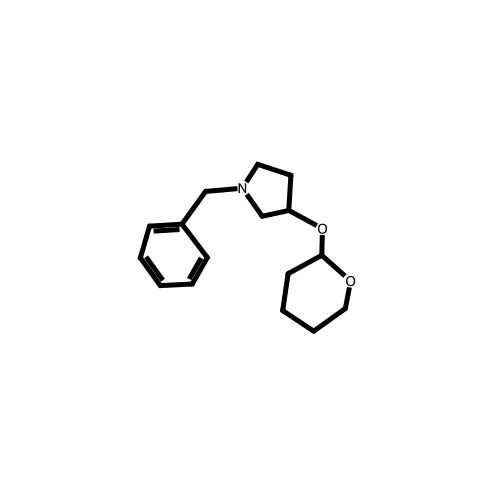 c1ccc(CN2CCC(OC3CCCCO3)C2)cc1